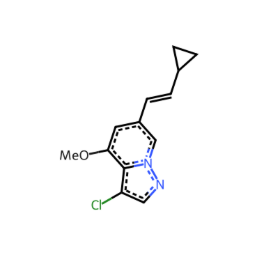 COc1cc(C=CC2CC2)cn2ncc(Cl)c12